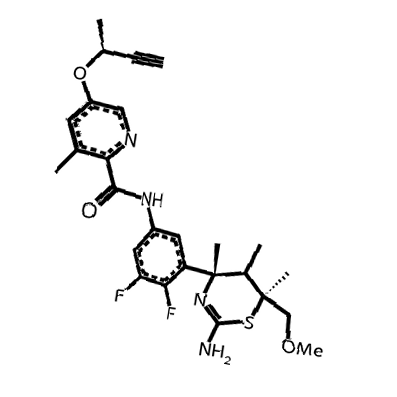 C#C[C@H](C)Oc1cnc(C(=O)Nc2cc(F)c(F)c([C@@]3(C)N=C(N)S[C@](C)(COC)C3C)c2)c(C)c1